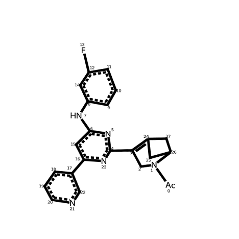 CC(=O)N1CC(c2nc(Nc3cccc(F)c3)cc(-c3cccnc3)n2)=C2CC1C2